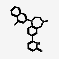 CN1CCN(c2cc(F)c3ccccc3c2)c2ccc(-c3cccc(=O)[nH]3)cc2C1